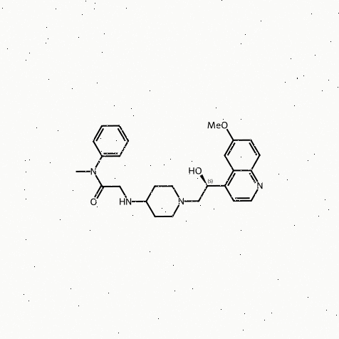 COc1ccc2nccc([C@H](O)CN3CCC(NCC(=O)N(C)c4ccccc4)CC3)c2c1